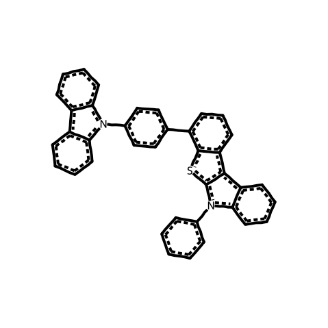 c1ccc(-n2c3ccccc3c3c4cccc(-c5ccc(-n6c7ccccc7c7ccccc76)cc5)c4sc32)cc1